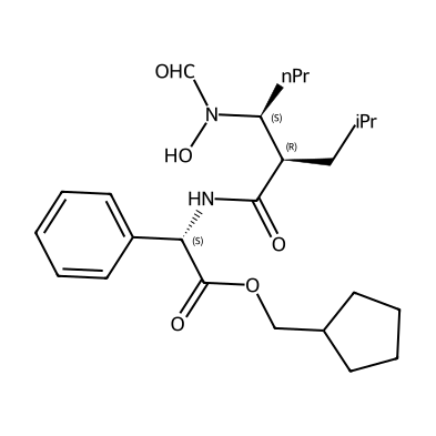 CCC[C@@H]([C@@H](CC(C)C)C(=O)N[C@H](C(=O)OCC1CCCC1)c1ccccc1)N(O)C=O